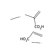 C=C(C)C(=O)O.C=CC(=O)O.[CH2]C.[CH2]C